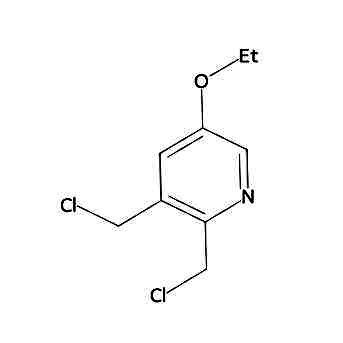 CCOc1cnc(CCl)c(CCl)c1